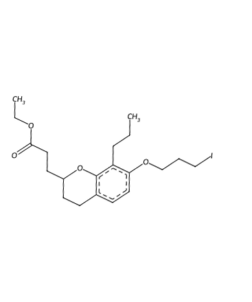 CCCc1c(OCCCI)ccc2c1OC(CCC(=O)OCC)CC2